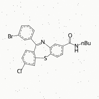 CCCCNC(=O)c1ccc2c(c1)N=C(c1cccc(Br)c1)c1ccc(Cl)cc1S2